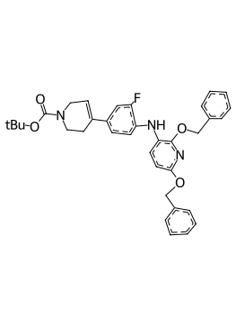 CC(C)(C)OC(=O)N1CC=C(c2ccc(Nc3ccc(OCc4ccccc4)nc3OCc3ccccc3)c(F)c2)CC1